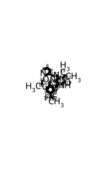 CC(C)COc1ncccc1-c1nc2c(c(=O)[nH]c(=O)n2C(C)C)n1Cc1ccc(C(C)(F)F)cc1